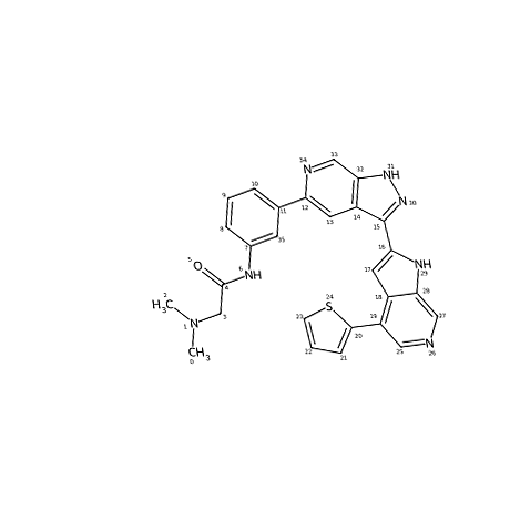 CN(C)CC(=O)Nc1cccc(-c2cc3c(-c4cc5c(-c6cccs6)cncc5[nH]4)n[nH]c3cn2)c1